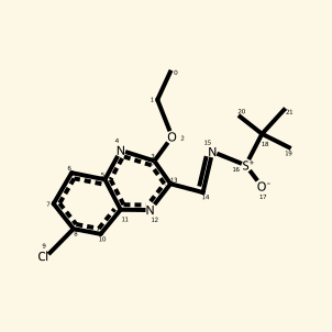 CCOc1nc2ccc(Cl)cc2nc1/C=N/[S+]([O-])C(C)(C)C